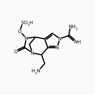 N=C(N)n1cc2c(n1)C(CN)N1CC2N(OS(=O)(=O)O)C1=O